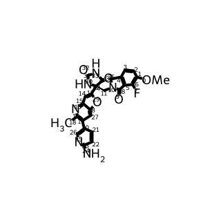 COc1ccc2c(c1F)C(=O)N(C[C@@]1(c3cc4nc(C)c(-c5ccc(N)nc5)cc4o3)NC(=O)NC1=O)C2